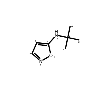 CC(C)(C)Nc1ccno1